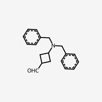 O=CC1CC(N(Cc2ccccc2)Cc2ccccc2)C1